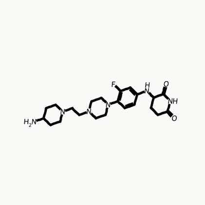 NC1CCN(CCN2CCN(c3ccc(NC4CCC(=O)NC4=O)cc3F)CC2)CC1